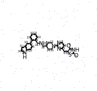 O=C1NC(=O)/C(=C\c2ccnc(N3CCC(CNCc4ccccc4-c4ccc5[nH]ccc5c4)CC3)n2)S1